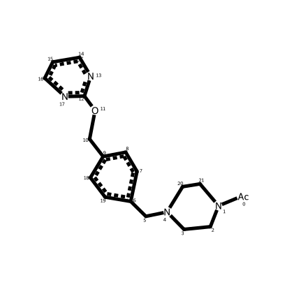 CC(=O)N1CCN(Cc2ccc(COc3n[c]ccn3)cc2)CC1